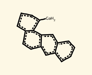 [GaH2][c]1cccc2ccc3cc4ccccc4cc3c12